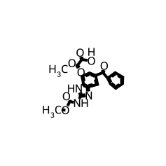 COC(=O)C(=O)O.COC(=O)Nc1nc2cc(C(=O)c3ccccc3)ccc2[nH]1